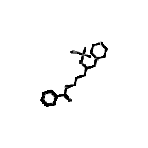 CC(C)(C)[Si](C)(C)OC(CCCOC(=O)c1ccccc1)CN1CCOCC1